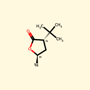 [2H][C@@H]1C[C@@H](C(C)(C)C)C(=O)O1